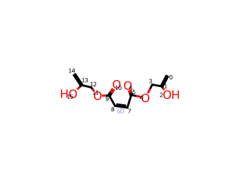 C=C(O)COC(=O)/C=C\C(=O)OCC(=C)O